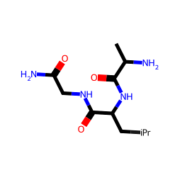 CC(C)CC(NC(=O)C(C)N)C(=O)NCC(N)=O